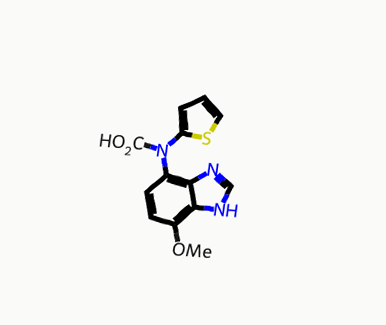 COc1ccc(N(C(=O)O)c2cccs2)c2nc[nH]c12